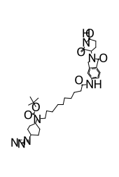 CC(C)(C)OC(=O)N(CCCCCCCCCC(=O)Nc1ccc2c(c1)CN(C1CCC(=O)NC1=O)C2=O)C1CCC(N=[N+]=[N-])CC1